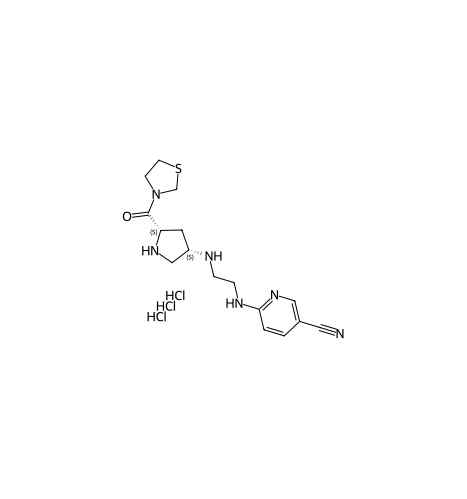 Cl.Cl.Cl.N#Cc1ccc(NCCN[C@@H]2CN[C@H](C(=O)N3CCSC3)C2)nc1